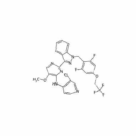 COc1cnc(-c2nn(Cc3c(F)cc(OCC(F)(F)F)cc3F)c3ccccc23)nc1Nc1ccncc1Cl